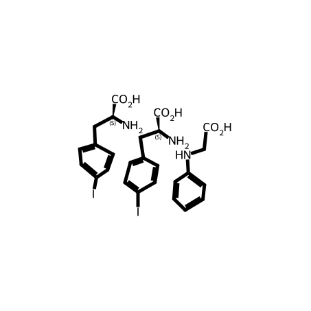 N[C@@H](Cc1ccc(I)cc1)C(=O)O.N[C@@H](Cc1ccc(I)cc1)C(=O)O.O=C(O)CNc1ccccc1